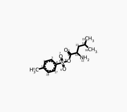 Cc1ccc(S(=O)(=O)OC(=O)C(N)CC(C)C)cc1